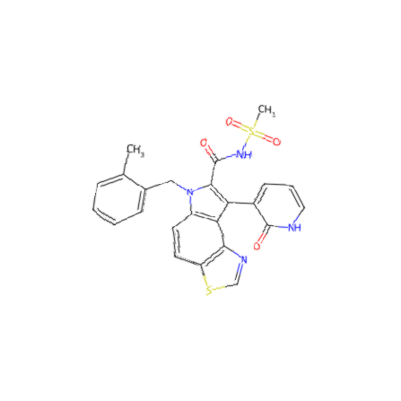 Cc1ccccc1Cn1c(C(=O)NS(C)(=O)=O)c(-c2ccc[nH]c2=O)c2c3ncsc3ccc21